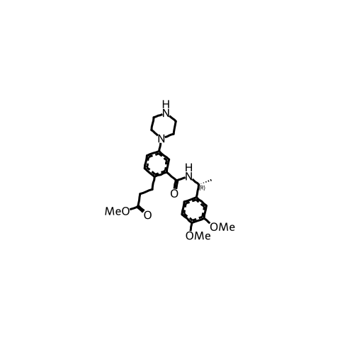 COC(=O)CCc1ccc(N2CCNCC2)cc1C(=O)N[C@H](C)c1ccc(OC)c(OC)c1